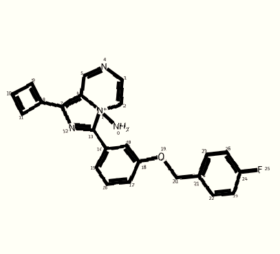 N[N+]12C=CN=CC1=C(C1=CC=C1)N=C2c1cccc(OCc2ccc(F)cc2)c1